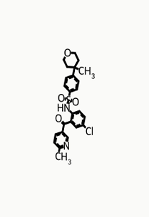 Cc1ccc(C(=O)c2cc(Cl)ccc2NS(=O)(=O)c2ccc(C3(C)CCOCC3)cc2)cn1